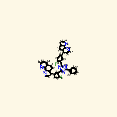 Fc1ccc(-c2ccnc3c2ccc2cccnc23)cc1-c1nc(-c2ccccc2)nc(-c2cc(-c3ccnc4c3ccc3cccnc34)ccc2F)n1